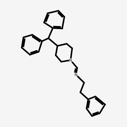 C(=NCCc1ccccc1)N1CCC(C(c2ccccc2)c2ccccc2)CC1